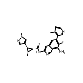 Cc1ccncc1-c1cc2cc(NC(=O)[C@@H]3[C@@H](C)[C@H]3c3cnn(C)c3)ncc2c(N)c1F